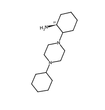 N[C@H]1CCCCC1N1CCN(C2CCCCC2)CC1